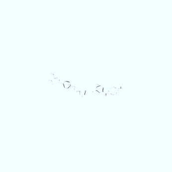 CC(=O)N1CCN(C(=O)c2cccc(CSc3cnc(NC(=O)c4ccc(CNC(C(C)C)C(C)C)cc4)s3)c2)CC1